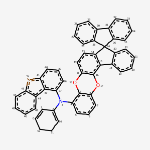 C1=CC(N(c2cccc3c2Oc2ccc4c(c2O3)-c2ccccc2C42c3ccccc3-c3ccccc32)c2cccc3sc4ccccc4c23)=CCC1